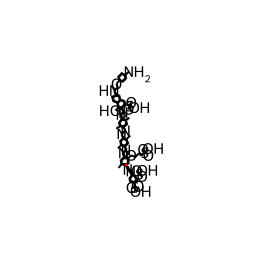 Cc1cc(N=Nc2cc(C)c(N=Nc3ccc(S(=O)(=O)O)cc3S(=O)(=O)O)cc2OCCCS(=O)(=O)O)c(C)cc1N=Nc1cc(C)c(N=Nc2c(S(=O)(=O)O)cc3cc(NCOc4ccc(N)cc4)ccc3c2O)cc1C